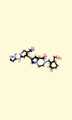 Cn1nccc1Nc1cc(-c2cc3n(c2)CCN(Cc2cc(F)ccc2CO)C3=O)c(C#N)cn1